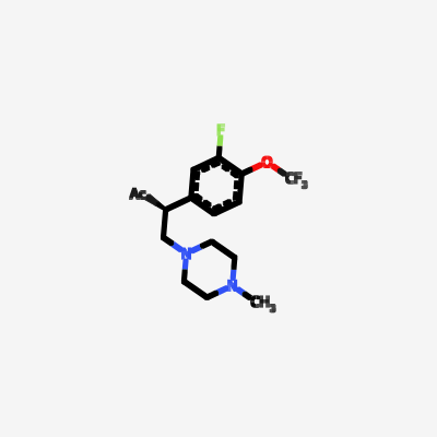 CC(=O)[C@H](CN1CCN(C)CC1)c1ccc(OC(F)(F)F)c(F)c1